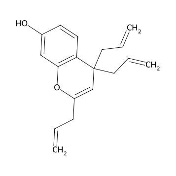 C=CCC1=CC(CC=C)(CC=C)c2ccc(O)cc2O1